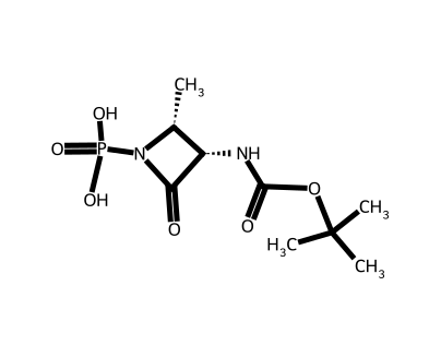 C[C@@H]1[C@H](NC(=O)OC(C)(C)C)C(=O)N1P(=O)(O)O